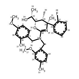 COc1ccc(CN(Cc2ccc(C)cc2OC)C2=N[C@](C)(c3ccccc3F)[C@@H](F)[C@@H]([C@@H](C)O)O2)c(C)c1